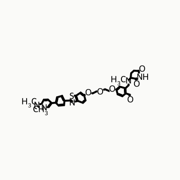 CN(C)c1ccc(-c2ccc(-c3nc4ccc(OCCOCCOc5ccc(C=O)c(CN(C)C6CCC(=O)NC6=O)c5)cc4s3)cc2)cn1